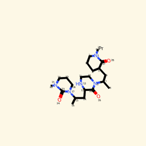 CC(C)N1CCCC(CC(C)N2CCNC(CC(C)N3CCCN(C)C3=O)C2=O)C1=O